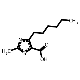 CCCCCCc1nc(C)sc1C(=O)O